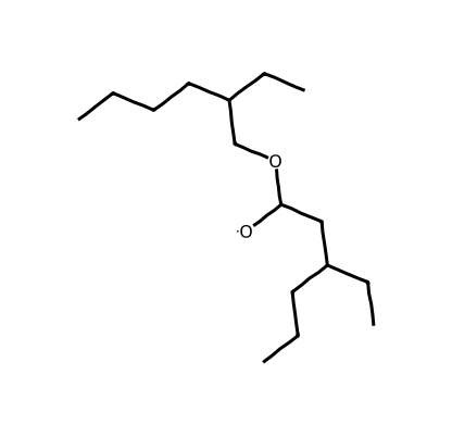 CCCCC(CC)COC([O])CC(CC)CCC